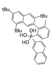 Cc1cccc(P(O)(O)(O)c2ccc3ccccc3c2)c1-c1cc2c(C(C)(C)C)cc(C(C)(C)C)cc2cc1C(C)(C)C